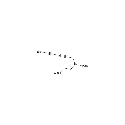 CCCCCN(CC#CC#CC(C)(C)C)CCNC(C)=O